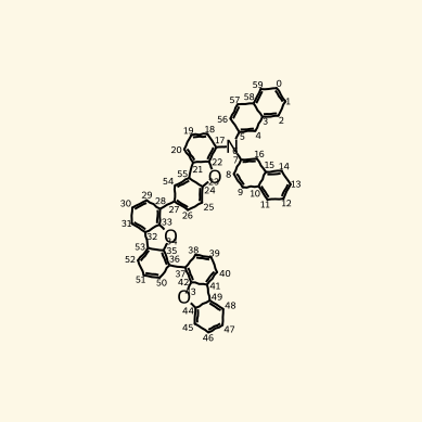 c1ccc2cc(N(c3ccc4ccccc4c3)c3cccc4c3oc3ccc(-c5cccc6c5oc5c(-c7cccc8c7oc7ccccc78)cccc56)cc34)ccc2c1